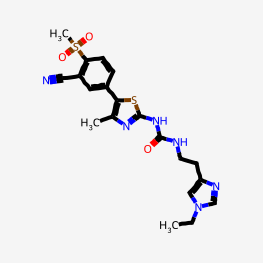 CCn1cnc(CCNC(=O)Nc2nc(C)c(-c3ccc(S(C)(=O)=O)c(C#N)c3)s2)c1